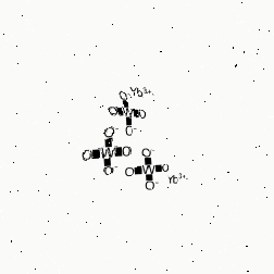 [O]=[W](=[O])([O-])[O-].[O]=[W](=[O])([O-])[O-].[O]=[W](=[O])([O-])[O-].[Yb+3].[Yb+3]